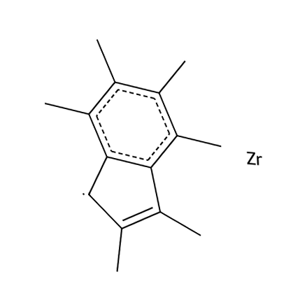 CC1=C(C)c2c(C)c(C)c(C)c(C)c2[CH]1.[Zr]